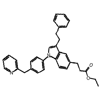 CCOC(=O)CCc1ccc2c(c1)c(CCc1ccccc1)cn2-c1ccc(Cc2ccccn2)cc1